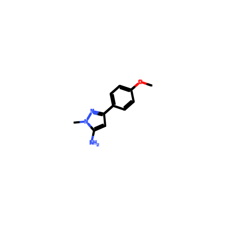 COc1ccc(-c2cc(N)n(C)n2)cc1